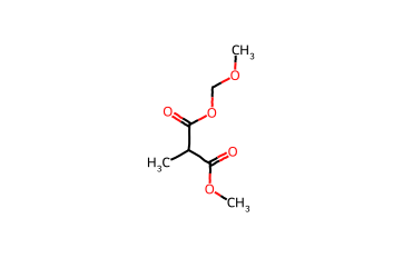 COCOC(=O)C(C)C(=O)OC